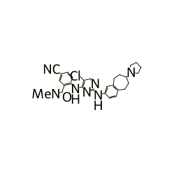 CNC(=O)c1cc(C#N)ccc1Nc1nc(Nc2ccc3c(c2)CCC(N2CCCC2)CC3)ncc1Cl